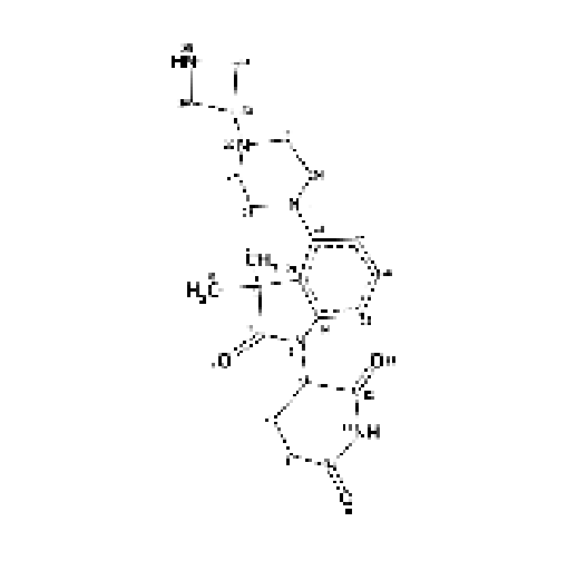 CC1(C)C(=O)N(C2CCC(=O)NC2=O)c2cccc(N3CCN(C4CNC4)CC3)c21